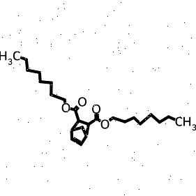 CCCCCCCCOC(=O)C1C2C=CC(C2)C1C(=O)OCCCCCCCC